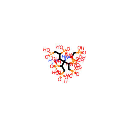 NC(C(CP(=O)(O)O)P(=O)(O)O)C(NC(CP(=O)(O)O)P(=O)(O)O)(C(CP(=O)(O)O)P(=O)(O)O)C(CP(=O)(O)O)P(=O)(O)O